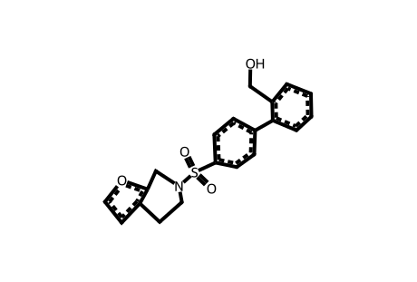 O=S(=O)(c1ccc(-c2ccccc2CO)cc1)N1CCc2ccoc2C1